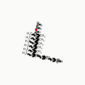 CCCC[n+]1ccc(C)cc1.CCCC[n+]1ccc(C)cc1.CCCC[n+]1ccc(C)cc1.CCCC[n+]1ccc(C)cc1.CCCC[n+]1ccc(C)cc1.CCCC[n+]1ccc(C)cc1.CCCC[n+]1ccc(C)cc1.CCCC[n+]1ccc(C)cc1.N#CB([O-])[O-].N#CB([O-])[O-].N#CB([O-])[O-].N#CB([O-])[O-]